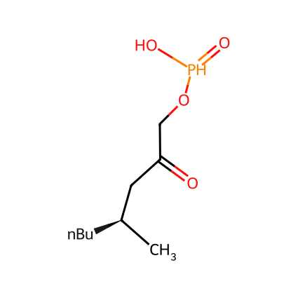 CCCC[C@H](C)CC(=O)CO[PH](=O)O